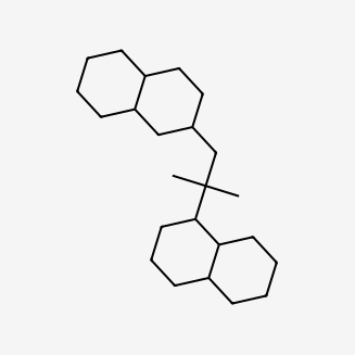 CC(C)(CC1CCC2CCCCC2C1)C1CCCC2CCCCC21